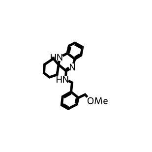 COCc1ccccc1CNC1=Nc2ccccc2NC12CCCCC2